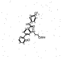 COCCNc1cc(-c2ncccc2Cl)ccc1C(=O)Nc1ccc(C(F)(F)F)cn1